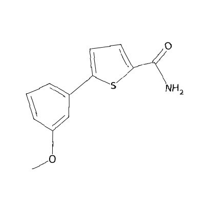 COc1cccc(-c2ccc(C(N)=O)s2)c1